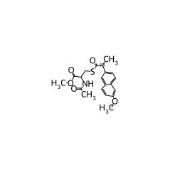 COC(=O)C(CSC(=O)[C@@H](C)c1ccc2cc(OC)ccc2c1)NC(C)=O